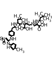 Cc1ccc(NC(=C[N+](=O)[O-])Nc2ccc(CC(=O)NC(CC(C)C)C(=O)NC(CCNCC(NC(=O)CC(C)(C)C)C(=O)O)C(=O)O)cc2)cc1